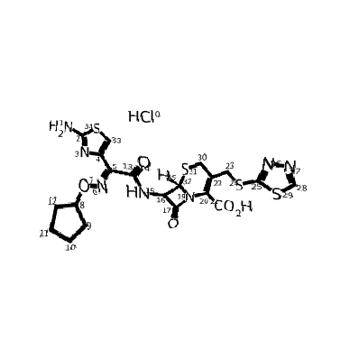 Cl.Nc1nc(C(=NOC2CCCC2)C(=O)NC2C(=O)N3C(C(=O)O)=C(CSc4nncs4)CS[C@@H]23)cs1